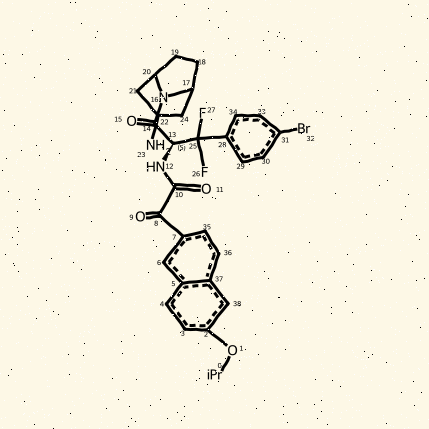 CC(C)Oc1ccc2cc(C(=O)C(=O)N[C@@H](C(=O)N3C4CCC3CC(N)C4)C(F)(F)c3ccc(Br)cc3)ccc2c1